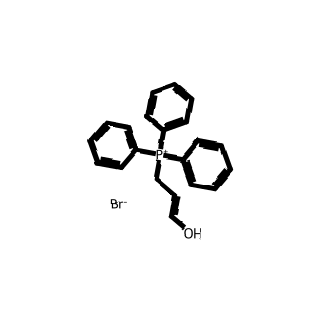 OC=CC[P+](c1ccccc1)(c1ccccc1)c1ccccc1.[Br-]